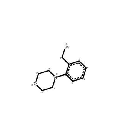 CC(C)Cc1ccccc1N1CCOCC1